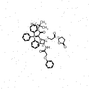 CC(C)(C)OC(=O)C(N1C(=O)[C@@H](NC(=O)COc2ccccc2)[C@H]1SCC(=O)[C@@H]1CCC(=O)O1)=P(c1ccccc1)(c1ccccc1)c1ccccc1